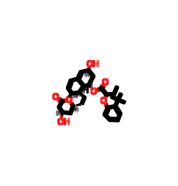 CCC(Oc1ccccc1C(C)(C)C)C(=O)O[C@H]1C[C@H](O)C=C2C=C[C@H](C)[C@H](CC[C@@H]3C[C@@H](O)CC(=O)O3)[C@H]21